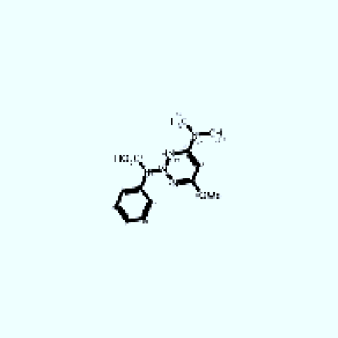 COC1=NN(N(C(=O)O)c2ccccc2)NC(N(C)C)=C1